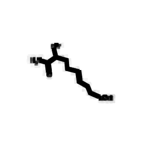 CCCCCCCCCCC=CCCC(CCC)C(N)=O